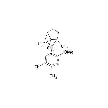 COc1cc(C)c(Cl)cc1C1CC2CCC1(C)C2(C)C